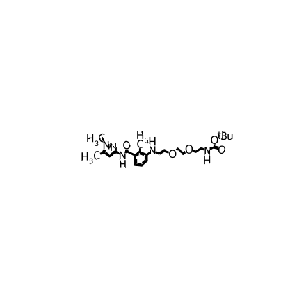 Cc1c(NCCOCCOCCNC(=O)OC(C)(C)C)cccc1C(=O)Nc1cc(C)n(C)n1